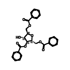 O=C(OC[C@H]1O[C@H](COC(=O)c2ccccc2)[C@@H](OC(=O)c2ccccc2)[C@@H]1O)c1ccccc1